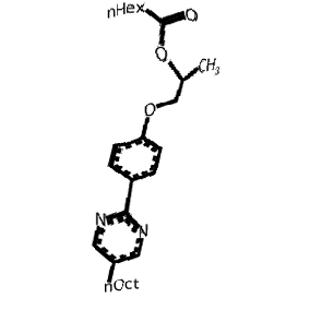 CCCCCCCCc1cnc(-c2ccc(OCC(C)OC(=O)CCCCCC)cc2)nc1